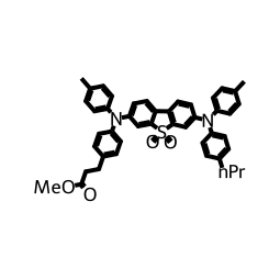 CCCc1ccc(N(c2ccc(C)cc2)c2ccc3c(c2)S(=O)(=O)c2cc(N(c4ccc(C)cc4)c4ccc(CCC(=O)OC)cc4)ccc2-3)cc1